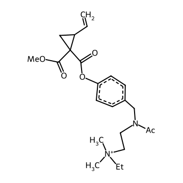 C=CC1CC1(C(=O)OC)C(=O)Oc1ccc(CN(CC[N+](C)(C)CC)C(C)=O)cc1